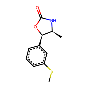 CSc1cccc([C@H]2OC(=O)N[C@H]2C)c1